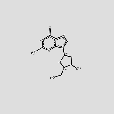 Nc1nc2c(ncn2[C@H]2CC(O)[C@@H](CO)O2)c(=O)[nH]1